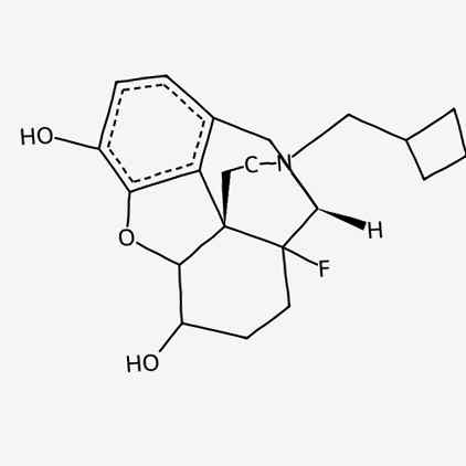 Oc1ccc2c3c1OC1C(O)CCC4(F)[C@@H](C2)N(CC2CCC2)CC[C@]314